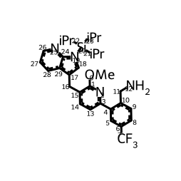 COc1nc(-c2cc(C(F)(F)F)ccc2CN)ccc1Cc1cn([Si](C(C)C)(C(C)C)C(C)C)c2ncccc12